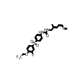 C=N/C=C\C=C(/C)CNC(=O)Nc1ccc(S(=O)(=O)c2ccc(OCC(F)(F)F)c(F)c2)cc1